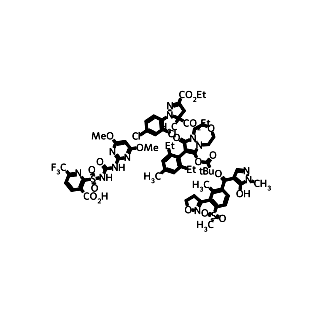 CCOC(=O)C1=NN(c2ccc(Cl)cc2Cl)C(C)(C(=O)OCC)C1.CCc1cc(C)cc(CC)c1-c1c(OC(=O)C(C)(C)C)n2n(c1=O)CCOCC2.COc1cc(OC)nc(NC(=O)NS(=O)(=O)c2nc(C(F)(F)F)ccc2C(=O)O)n1.Cc1c(C(=O)c2cnn(C)c2O)ccc(S(C)(=O)=O)c1C1=NOCC1